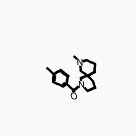 Cc1ccc(C(=O)N2CCCC3(CCCN(C)C3)C2)cc1